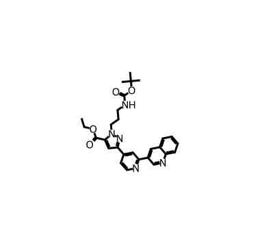 CCOC(=O)c1cc(-c2ccnc(-c3cnc4ccccc4c3)c2)nn1CCCNC(=O)OC(C)(C)C